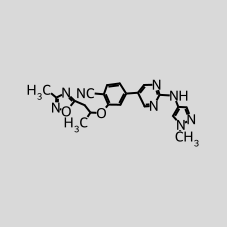 Cc1noc(CC(C)Oc2cc(-c3cnc(Nc4cnn(C)c4)nc3)ccc2C#N)n1